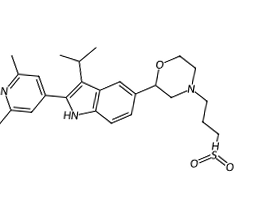 Cc1cc(-c2[nH]c3ccc(C4CN(CCC[SH](=O)=O)CCO4)cc3c2C(C)C)cc(C)n1